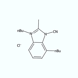 CCCCc1cccc2c1n(C#N)c(C)[n+]2CCCC.[Cl-]